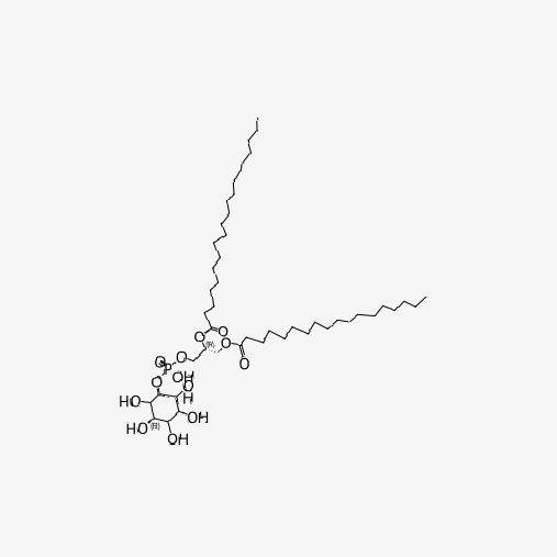 CCCCCCCCCCCCCCCCCCCC(=O)O[C@H](COC(=O)CCCCCCCCCCCCCCCCC)COP(=O)(O)OC1C(O)C(O)C(O)[C@@H](O)C1O